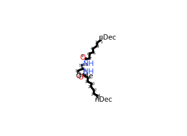 CCCCCCCCCCCCCCCCCC(=O)NC[C@H](COC)NC(=O)CCCCCCCCCCCCCCCCC